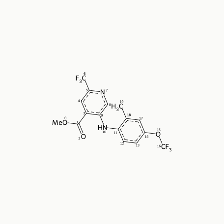 COC(=O)c1cc(C(F)(F)F)ncc1Nc1ccc(OC(F)(F)F)cc1C